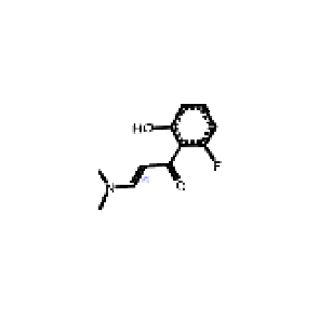 CN(C)/C=C/C(=O)c1c(O)cccc1F